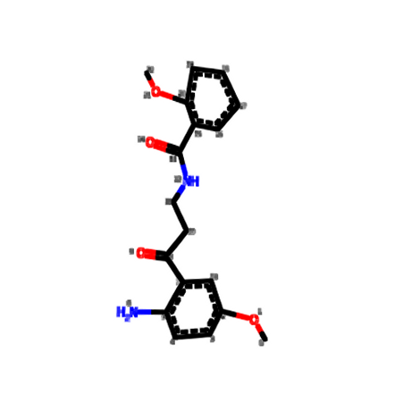 COc1ccc(N)c(C(=O)CCNC(=O)c2ccccc2OC)c1